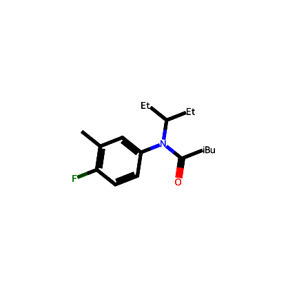 CCC(C)C(=O)N(c1ccc(F)c(C)c1)C(CC)CC